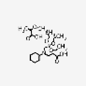 C=C(OC)C(=O)O.CCO[Si](CN(CCC(=O)O)C1CCCCC1)(OCC)OCC